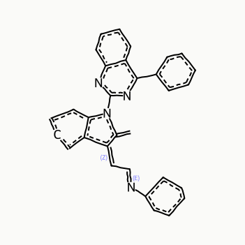 C=c1/c(=C\C=N\c2ccccc2)c2ccccc2n1-c1nc(-c2ccccc2)c2ccccc2n1